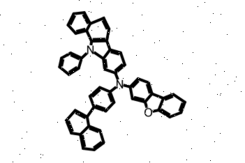 c1ccc(-n2c3cc(N(c4ccc(-c5cccc6ccccc56)cc4)c4ccc5c(c4)oc4ccccc45)ccc3c3ccc4ccccc4c32)cc1